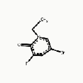 CCn1cc(Br)cc(F)c1=O